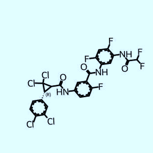 O=C(Nc1cc(NC(=O)C(F)F)c(F)cc1F)c1cc(NC(=O)C2[C@H](c3ccc(Cl)c(Cl)c3)C2(Cl)Cl)ccc1F